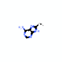 Cc1nc2c(N)n[c]nc2[nH]1